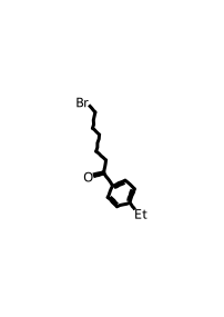 CCc1ccc(C(=O)CCCCCBr)cc1